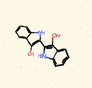 Oc1c(-c2[nH]c3ccccc3c2O)[nH]c2ccccc12